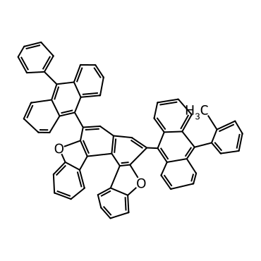 Cc1ccccc1-c1c2ccccc2c(-c2cc3cc(-c4c5ccccc5c(-c5ccccc5)c5ccccc45)c4oc5ccccc5c4c3c3c2oc2ccccc23)c2ccccc12